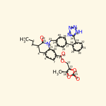 CCCC1Cc2ccc(C(=O)OCc3oc(=O)oc3C)cc2N(Cc2ccc(-c3ccccc3-c3nnn[nH]3)cc2)C1=O